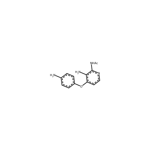 CC(=O)Nc1nccc(Oc2ccc(N)cc2)c1N